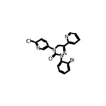 O=C1N(c2ccc(Cl)nc2)CC(c2ccccn2)=NN1c1ccccc1Br